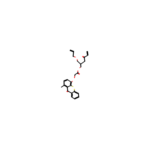 C=CCOCC(COC(=O)COc1ccc(C)c2c(=O)c3ccccc3sc12)CC(=O)C=C